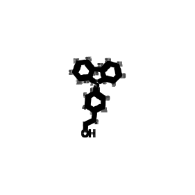 OCCc1ccc([SH]2c3ccccc3-c3ccccc32)cc1